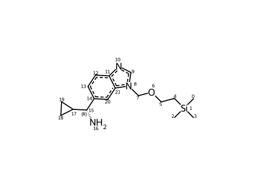 C[Si](C)(C)CCOCn1cnc2ccc([C@H](N)C3CC3)cc21